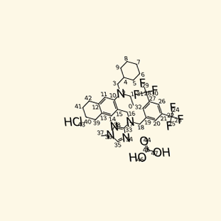 CCN(CC1CCCCC1)c1cc2c(cc1CN(Cc1cc(C(F)(F)F)cc(C(F)(F)F)c1)c1ncn(C)n1)CCCC2.Cl.O=C(O)O